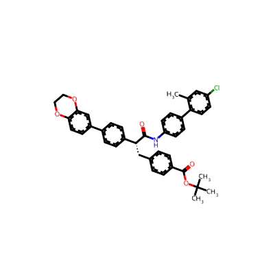 Cc1cc(Cl)ccc1-c1ccc(NC(=O)[C@H](Cc2ccc(C(=O)OC(C)(C)C)cc2)c2ccc(-c3ccc4c(c3)OCCO4)cc2)cc1